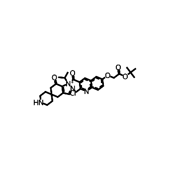 CC(C)[N+]1(C(=O)c2cc3cc(OCC(=O)OC(C)(C)C)ccc3nc2Cl)N=CC2=C1C(=O)CC1(CCNCC1)C2